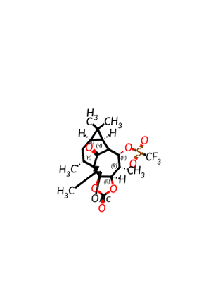 CC(=O)OC1C(C)=CC23C(=O)C([C@H](OS(=O)(=O)C(F)(F)F)[C@H](C)[C@H]4OC(=O)OC142)[C@H]1[C@@H](C[C@H]3C)C1(C)C